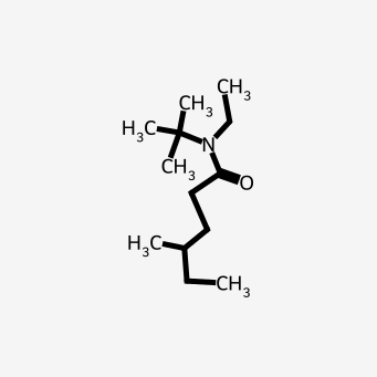 CCC(C)CCC(=O)N(CC)C(C)(C)C